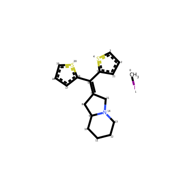 CI.c1csc(C(=C2CC3CCCCN3C2)c2cccs2)c1